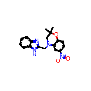 CC1(C)CN(Cc2nc3ccccc3[nH]2)c2cc([N+](=O)[O-])ccc2O1